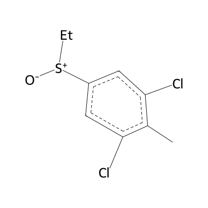 CC[S+]([O-])c1cc(Cl)c(C)c(Cl)c1